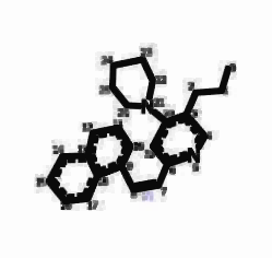 CCCc1cnc(/C=C\c2cccc3ccccc23)cc1N1CCCCC1